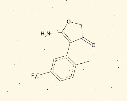 Cc1ccc(C(F)(F)F)cc1C1=C(N)OCC1=O